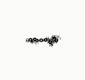 CN(Cc1ccc(N2CCC(=O)NC2=O)cc1F)C1CCN(c2ccc(Nc3ncc(C(F)(F)F)c(NCc4nccnc4N(C)S(C)(=O)=O)n3)cc2)CC1